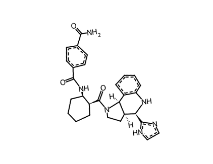 NC(=O)c1ccc(C(=O)N[C@@H]2CCCC[C@@H]2C(=O)N2CC[C@@H]3[C@H](c4ncc[nH]4)Nc4ccccc4[C@@H]32)cc1